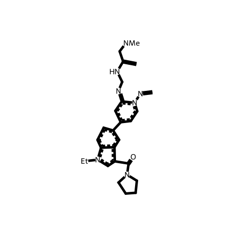 C=Nn1ccc(-c2ccc3c(c2)c(C(=O)N2CCCC2)cn3CC)c/c1=N/CNC(=C)CNC